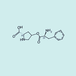 N[C@@H](Cc1ccccc1)C(=O)OC1CN[C@H](C(=O)O)C1